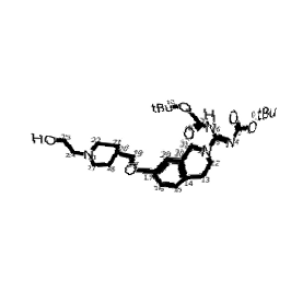 CC(C)(C)OC(=O)/N=C(\NC(=O)OC(C)(C)C)N1CCc2ccc(OCC3CCN(CCO)CC3)cc2C1